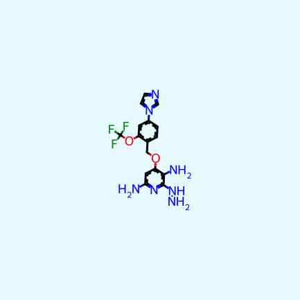 NNc1nc(N)cc(OCc2ccc(-n3ccnc3)cc2OC(F)(F)F)c1N